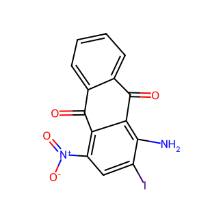 Nc1c(I)cc([N+](=O)[O-])c2c1C(=O)c1ccccc1C2=O